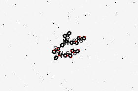 c1ccc(-c2nc(-c3ccc4c(c3)oc3c(-c5cccc6c5oc5ccccc56)cccc34)nc(-c3cc(-c4ccc(-c5nc(-c6ccc7c(c6)oc6c(-c8cccc9c8oc8ccccc89)cccc67)nc(-c6cccc7c6sc6ccccc67)n5)cc4)cc4oc5ccccc5c34)n2)cc1